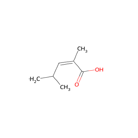 [CH2]C(C)C=C(C)C(=O)O